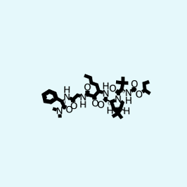 CCCCC(NC(=O)[C@@H]1[C@H]2[C@@H](CN1C(=O)[C@@H](NC(=O)OC(C)CC)C(C)(C)C)C2(C)C)C(=O)C(=O)NCC(=O)N[C@H](C(=O)N(C)C)c1ccccc1